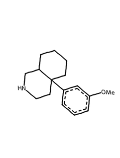 COc1cccc(C23CCCCC2CNCC3)c1